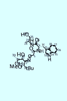 CO[C@H](/C(=N/OCC(=O)N[C@@H](Cc1c[nH]c2ccccc12)C(=O)NC(C)CO)[C@@H](O)[C@@H](C)O)C(C)(C)C